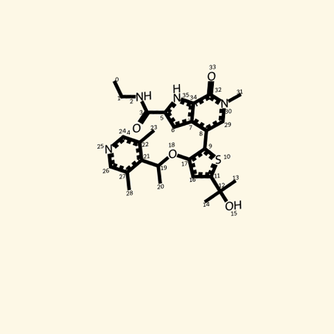 CCNC(=O)c1cc2c(-c3sc(C(C)(C)O)cc3OC(C)c3c(C)cncc3C)cn(C)c(=O)c2[nH]1